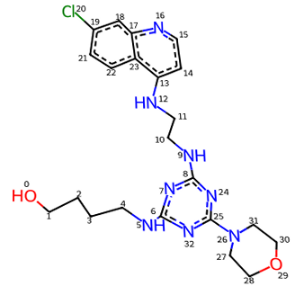 OCCCCNc1nc(NCCNc2ccnc3cc(Cl)ccc23)nc(N2CCOCC2)n1